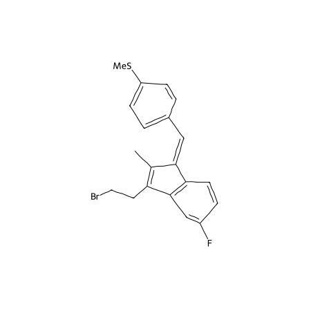 CSc1ccc(C=C2C(C)=C(CCBr)c3cc(F)ccc32)cc1